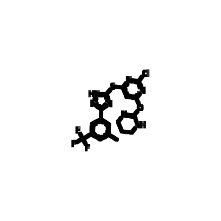 Cc1cc(-c2n[nH]c(Sc3cc(OC4=NCCCN4)nc(Cl)n3)n2)cc(C(F)(F)F)c1